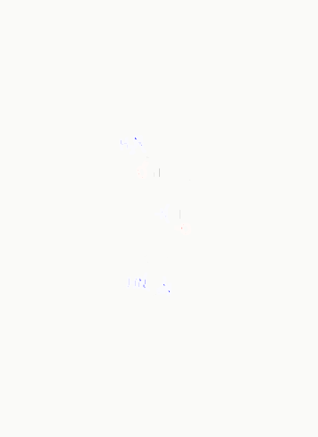 NC(=O)c1cccc2c1[C@@H]1CCCN(C(=O)c3ccc4[nH]cnc4c3)[C@@H]1CC2